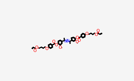 C=CC(=O)OCCCCOc1ccc(C(=O)Oc2ccc(/C(C)=N/N=C(\C)c3ccc(OC(=O)c4ccc(OCCCCOC(=O)C=C)cc4)c(OC)c3)cc2OC)cc1